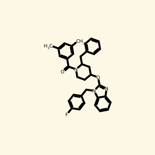 Cc1cc(C)cc(C(=O)N2CCC(Oc3nc4ccccc4n3Cc3ccc(F)cc3)CC2Cc2ccccc2)c1